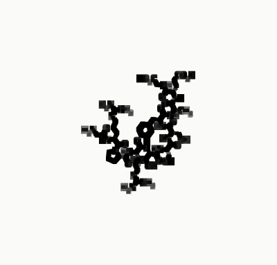 C[C@H](NC(=O)[C@H](Cc1ccccc1)NC(=O)[C@H](CO)NC(=O)[C@H](CO)NC(=O)[C@@H](NC(=O)[C@H](CCCN=C(N)N)NC(=O)[C@@H]1CCCN1C(=O)[C@H](CCCN=C(N)N)NC(=O)CN)[C@@H](C)O)C(=O)N[C@@H](CCC(=O)O)C(=O)NCC(=O)O